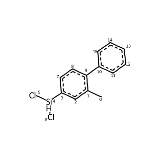 Cc1cc([SiH](Cl)Cl)ccc1-c1ccccc1